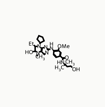 CCC1C(O)N(C)c2cnc(Nc3ccc(C(=O)NC(C)(C)CCO)cc3OC)nc2N1C1CCCC1